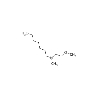 CCCCCCCN(C)CCOC